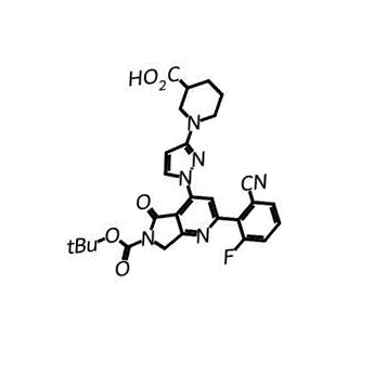 CC(C)(C)OC(=O)N1Cc2nc(-c3c(F)cccc3C#N)cc(-n3ccc(N4CCCC(C(=O)O)C4)n3)c2C1=O